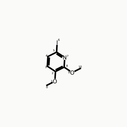 COc1ccc(I)nc1OC